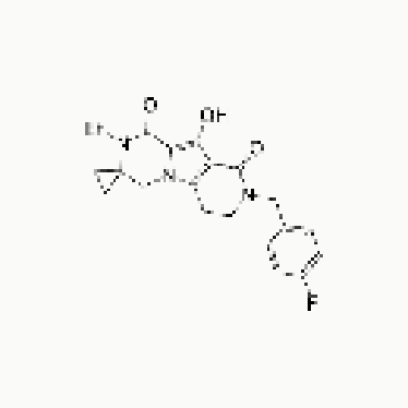 CCN1C(=O)c2c(O)c3c(n2CC12CC2)CCN(Cc1ccc(F)cc1)C3=O